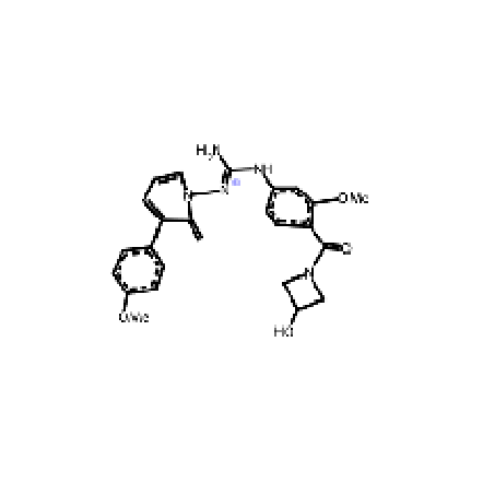 C=C1C(c2ccc(OC)cc2)=CC=CN1/N=C(\N)Nc1ccc(C(=O)N2CC(O)C2)c(OC)c1